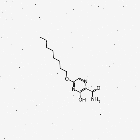 CCCCCCCCOc1cnc(C(N)=O)c(O)n1